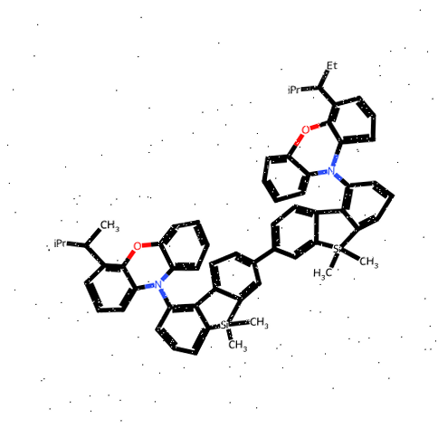 CCC(c1cccc2c1Oc1ccccc1N2c1cccc2c1-c1ccc(-c3ccc4c(c3)[Si](C)(C)c3cccc(N5c6ccccc6Oc6c(C(C)C(C)C)cccc65)c3-4)cc1[Si]2(C)C)C(C)C